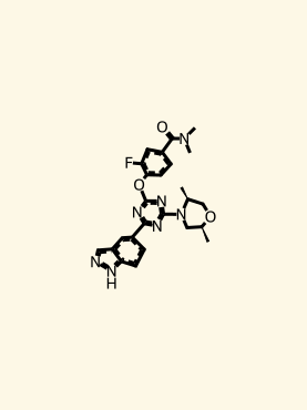 C[C@H]1CN(c2nc(Oc3ccc(C(=O)N(C)C)cc3F)nc(-c3ccc4[nH]ncc4c3)n2)[C@@H](C)CO1